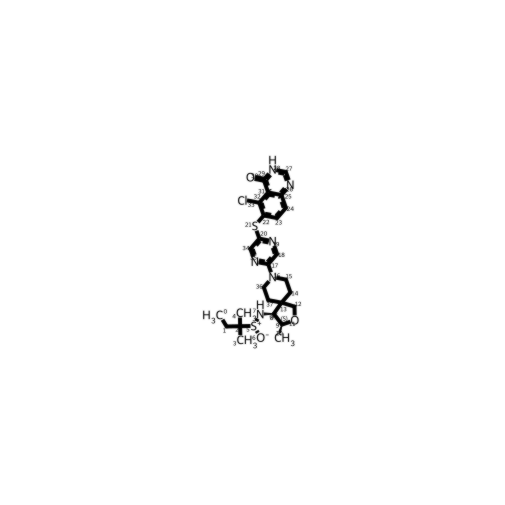 CCC(C)(C)[S+]([O-])N[C@@H]1[C@H](C)OCC12CCN(c1cnc(Sc3ccc4nc[nH]c(=O)c4c3Cl)cn1)CC2